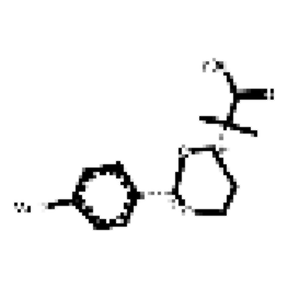 CCCCC(=O)C(C)(C)[C@@H]1CCO[C@H](c2ccc(OC)cc2)O1